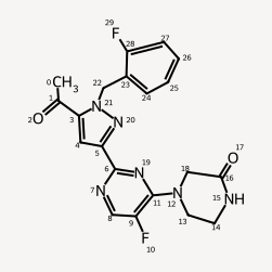 CC(=O)c1cc(-c2ncc(F)c(N3CCNC(=O)C3)n2)nn1Cc1ccccc1F